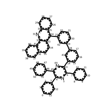 c1ccc(-c2nc(-c3ccccc3)c(-c3cccc(-c4cccc(-c5c6ccccc6nc6c5ccc5ccccc56)c4)c3)nc2-c2ccccc2)cc1